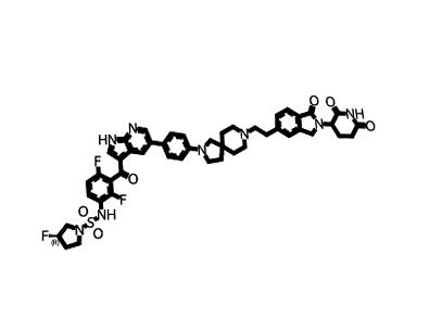 O=C1CCC(N2Cc3cc(CCN4CCC5(CC4)CCN(c4ccc(-c6cnc7[nH]cc(C(=O)c8c(F)ccc(NS(=O)(=O)N9CC[C@@H](F)C9)c8F)c7c6)cc4)C5)ccc3C2=O)C(=O)N1